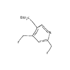 CCOC(=O)c1cnc(CI)cc1CI